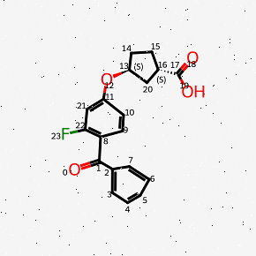 O=C(c1ccccc1)c1ccc(O[C@H]2CC[C@H](C(=O)O)C2)cc1F